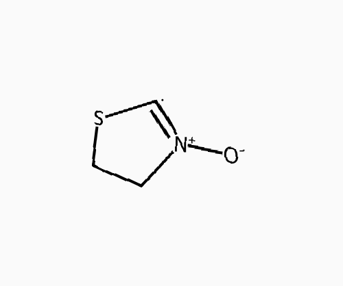 [O-][N+]1=[C]SCC1